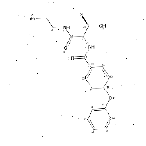 CC(C)CCNC(=O)[C@@H](NC(=O)c1ccc(Oc2ccccc2)cc1)[C@@H](C)O